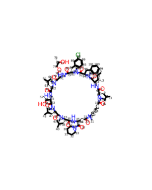 CC[C@H](C)[C@@H]1NC(=O)[C@H](CC(C)C)N(C)C(=O)CCCN(C)C(=O)C[C@@H](C(=O)N2CCCCC2)NC(=O)[C@H](CC(C)C)N(C)C(=O)[C@H](CC(C)C)N(C)C(=O)[C@H]([C@@H](C)O)NC(=O)[C@H](CC(C)C)N(C)C(=O)[C@H](COC[C@H](C)O)NC(=O)[C@H](Cc2cccc(Cl)c2)N(C)C(=O)C(Cc2ccccc2)N(C)C1=O